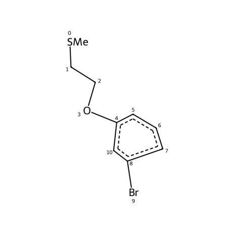 CSCCOc1cccc(Br)c1